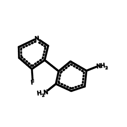 Nc1ccc(N)c(-c2cnccc2F)c1